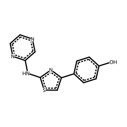 Oc1ccc(-c2csc(Nc3cnccn3)n2)cc1